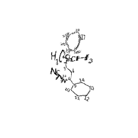 C[Si](C)(CCC(N=[N+]=[N-])C1CCCCC1)c1ccccc1